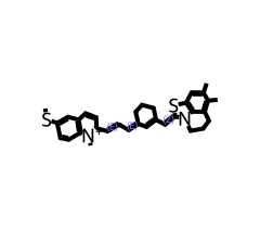 CSc1ccc2c(ccc(/C=C/C=C3C=C(/C=C4\Sc5cc(C)c(C)c6c5N4CCC6)CCC/3)[n+]2C)c1